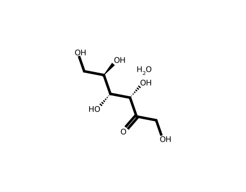 O.O=C(CO)[C@@H](O)[C@H](O)[C@H](O)CO